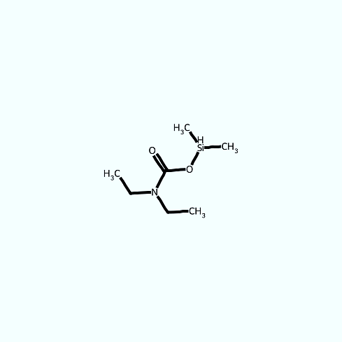 CCN(CC)C(=O)O[SiH](C)C